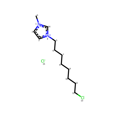 Cn1cc[n+](CCCCCCCCCl)c1.[Cl-]